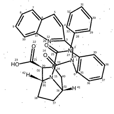 CN(Cc1ccc2ccccc2n1)C(=O)N1[C@H]2CC[C@@H]1[C@@H](C(=O)O)N(C(=O)N(c1ccccc1)c1ccccc1)C2